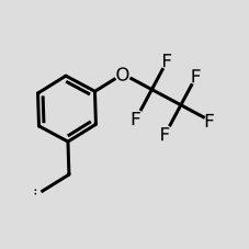 [CH]Cc1cccc(OC(F)(F)C(F)(F)F)c1